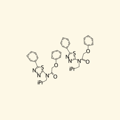 CC(C)CN(C(=O)COc1ccccc1)c1nnc(-c2ccccc2)s1.CC(C)CN(C(=O)COc1ccccc1)c1nnc(-c2ccccc2)s1